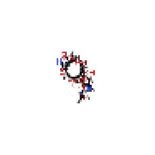 CO[C@@]1(C)C[C@@H](C)C(=O)[C@H](C)[C@H]2NC(=O)O[C@@]23C(C)[C@H]3OC(=O)[C@H](C)[C@@H](O)[C@H](C)[C@H]1O[C@@H]1O[C@H](C)C[C@H](N(C)C)[C@H]1O/C=C/C(C)=O